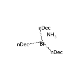 CCCCCCCCCCCCCCCCCCC(Br)(CCCCCCCCCCCCCCCCCC)CCCCCCCCCCCCCCCCCC.N